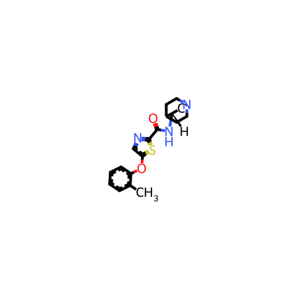 Cc1ccccc1Oc1cnc(C(=O)N[C@H]2CN3CCC2CC3)s1